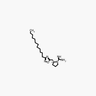 CCCCCCCCCCCCc1noc(C[C@@H]2CCCN2C(=N)N)n1